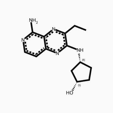 CCc1nc2c(N)nccc2nc1N[C@@H]1CC[C@H](O)C1